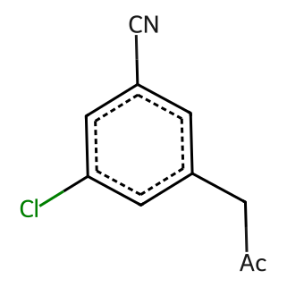 CC(=O)Cc1cc(Cl)cc(C#N)c1